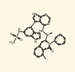 Cc1cccc2cc([C@H](C)Nc3ncnc4[nH]cc(-c5cc(NS(N)(=O)=O)cc6[nH]ccc56)c34)n(-c3ccccc3)c(=O)c12